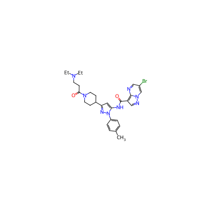 CCN(CC)CCC(=O)N1CCC(c2cc(NC(=O)c3cnn4cc(Br)cnc34)n(-c3ccc(C)cc3)n2)CC1